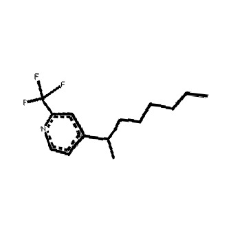 CCCCCCC(C)c1ccnc(C(F)(F)F)c1